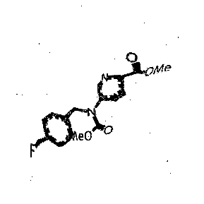 COC(=O)c1ccc(N(Cc2ccc(F)cc2)C(=O)OC)cn1